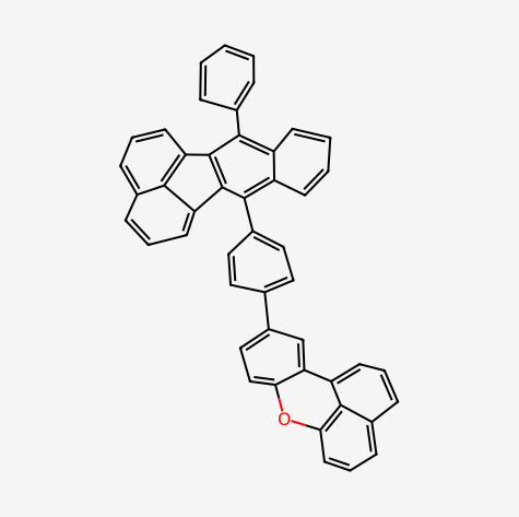 c1ccc(-c2c3c(c(-c4ccc(-c5ccc6c(c5)-c5cccc7cccc(c57)O6)cc4)c4ccccc24)-c2cccc4cccc-3c24)cc1